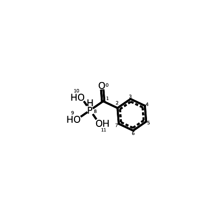 O=C(c1ccccc1)[PH](O)(O)O